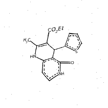 CCOC(=O)C1=C(C)Nc2cc[nH]c(=O)c2C1c1cccs1